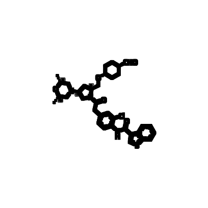 C[C@@H]1CN([C@H]2C[C@@H](CO[C@H]3CC[C@H](C=O)CC3)N(C(=O)Cc3ccc(NC(=O)c4csc5ccccc45)c(Cl)c3)C2)C[C@H](C)O1